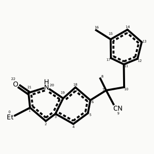 CCc1cc2ccc(C(C)(C#N)Cc3cccc(C)c3)cc2[nH]c1=O